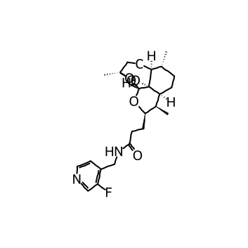 C[C@H]1[C@@H](CCC(=O)NCc2ccncc2F)O[C@@H]2O[C@]3(C)CC[C@H]4[C@H](C)CC[C@@H]1[C@@]24OO3